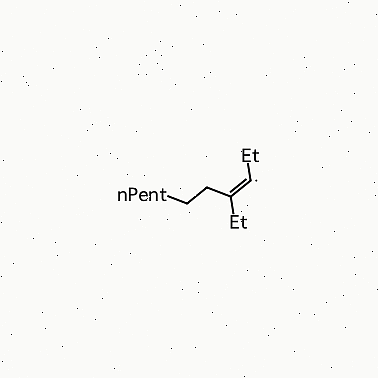 CC/[C]=C(/CC)CCCCCCC